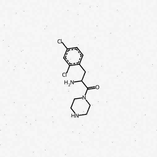 NC(Cc1ccc(Cl)cc1Cl)C(=O)N1CCNCC1